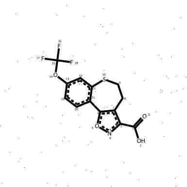 O=C(O)c1noc2c1CCSc1cc(OC(F)(F)F)ccc1-2